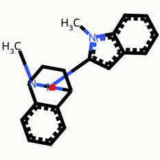 CN1CN(c2cc3ccccc3n2C)C2CCC1c1ccccc12